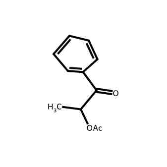 CC(=O)OC(C)C(=O)c1ccccc1